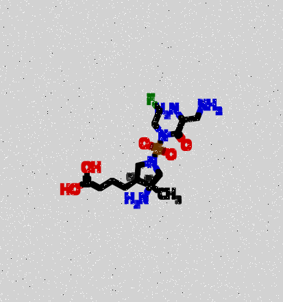 C[C@]1(N)CN(S(=O)(=O)N(CCF)C(=O)C(N)CN)C[C@@H]1CCCB(O)O